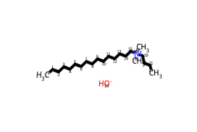 CCCCCCCCCCCCCCCC[N+](C)(C)CCCC.[OH-]